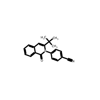 CC(C)(C)c1cc2ccccc2c(=O)n1-c1ccc(C#N)cc1